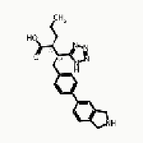 CCC[C@H](C(=O)O)[C@H](Cc1ccc(-c2ccc3c(c2)CNC3)cc1)c1nnn[nH]1